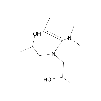 CC=C(N(C)C)N(CC(C)O)CC(C)O